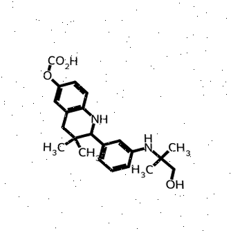 CC(C)(CO)Nc1cccc(C2Nc3ccc(OC(=O)O)cc3CC2(C)C)c1